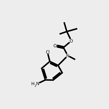 CN(C(=O)OC(C)(C)C)c1ccc(N)cc1Cl